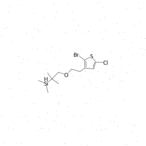 C[SiH](C)C(C)(C)COCCc1cc(Cl)sc1Br